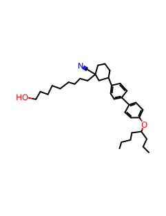 CCCCC(CCC)Oc1ccc(-c2ccc(C3CCCC(C#N)(CCCCCCCCCO)C3)cc2)cc1